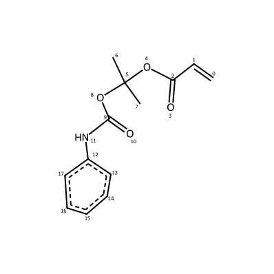 C=CC(=O)OC(C)(C)OC(=O)Nc1ccccc1